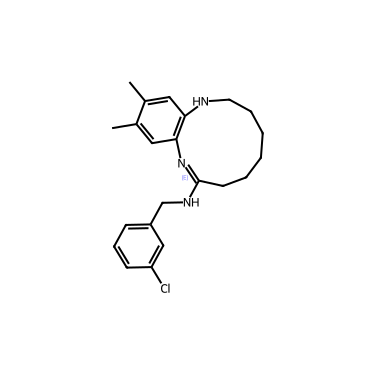 Cc1cc2c(cc1C)NCCCCCC/C(NCc1cccc(Cl)c1)=N\2